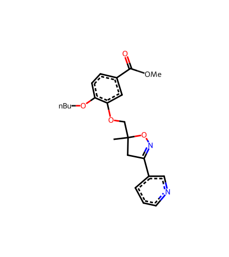 CCCCOc1ccc(C(=O)OC)cc1OCC1(C)CC(c2cccnc2)=NO1